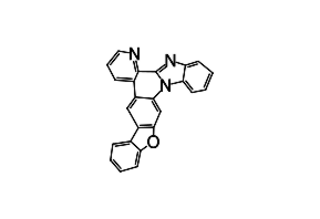 c1ccc2c(c1)nc1c3ncccc3c3cc4c(cc3n21)oc1ccccc14